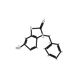 O=c1oc2cc(O)ccc2n1Cc1ccccc1